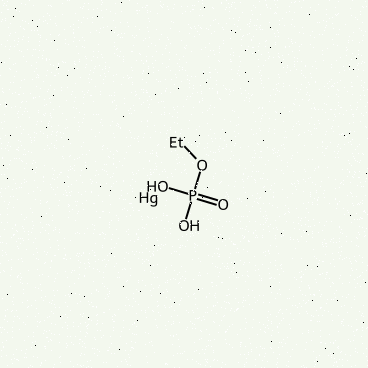 CCOP(=O)(O)O.[Hg]